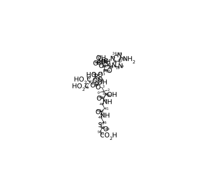 CC(C)(COP(=O)(O)OP(=O)(O)OC[C@H]1O[C@@H](n2cnc3c(N)ncnc32)[C@H](O)[C@@H]1OP(=O)(O)O)[C@@H](O)C(=O)NCCC(=O)NCCSC(=O)CC(=O)O.O=C(O)CC(=O)O